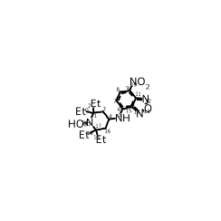 CCC1(CC)CC(Nc2ccc([N+](=O)[O-])c3nonc23)CC(CC)(CC)N1O